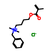 C=C(C)C(=O)OCCCC[N+](C)(C)Cc1ccccc1.[Cl-]